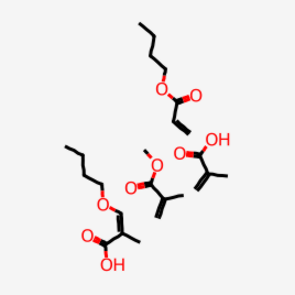 C=C(C)C(=O)O.C=C(C)C(=O)OC.C=CC(=O)OCCCC.CCCCOC=C(C)C(=O)O